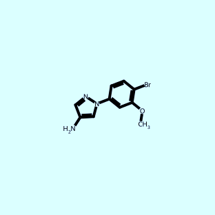 COc1cc(-n2cc(N)cn2)ccc1Br